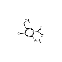 COc1cc([N+](=O)[O-])c([AsH2])cc1Cl